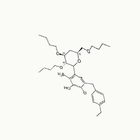 Bc1c(C2O[C@H](COCCCC)C[C@H](OCCCC)[C@H]2OCCCC)cc(Cc2ccc(CC)cc2)c(Cl)c1O